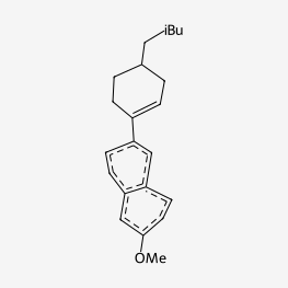 CCC(C)CC1CC=C(c2ccc3cc(OC)ccc3c2)CC1